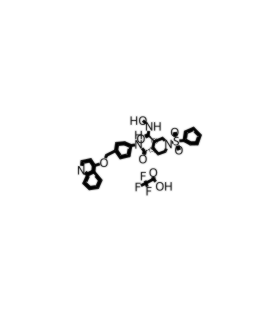 O=C(NO)[C@H]1CN(S(=O)(=O)c2ccccc2)CC[C@@H]1C(=O)Nc1ccc(COc2ccnc3ccccc23)cc1.O=C(O)C(F)(F)F